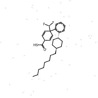 CCCCCCCC[C@H]1CC[C@H](c2ccccc2C2(C(F)F)C=CC(C(=O)S)C=C2)CC1